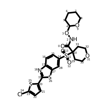 O=C(NOC1CCCCO1)C1(S(=O)(=O)c2ccc3nc(-c4ccc(Cl)s4)sc3c2)CCOCC1